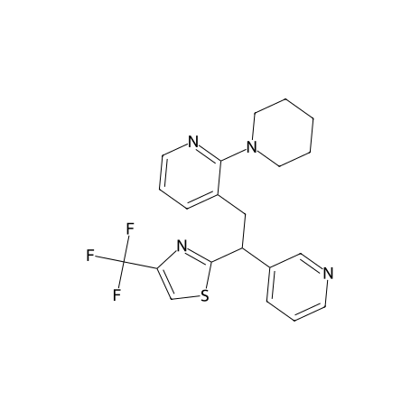 FC(F)(F)c1csc(C(Cc2cccnc2N2CCCCC2)c2cccnc2)n1